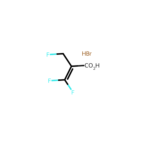 Br.O=C(O)C(CF)=C(F)F